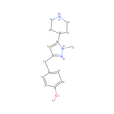 COc1ccc(Cc2cc(C3CCNCC3)n(C)n2)cc1